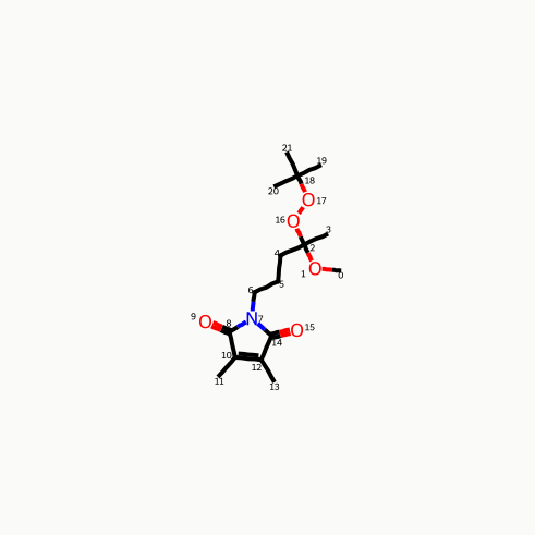 COC(C)(CCCN1C(=O)C(C)=C(C)C1=O)OOC(C)(C)C